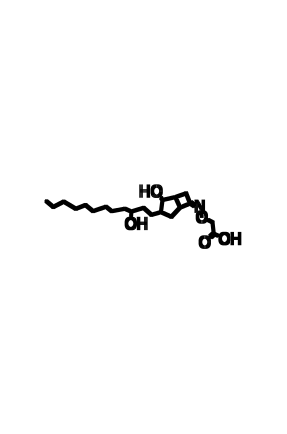 CCCCCCCCCC(O)CCC1CC2C(=NOCC(=O)O)CC2C1O